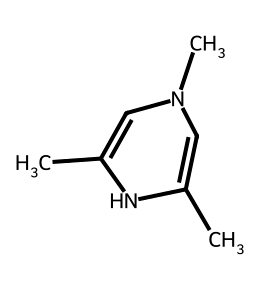 CC1=CN(C)C=C(C)N1